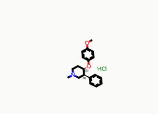 COc1ccc(O[C@H]2CCN(C)C[C@@H]2c2ccccc2)cc1.Cl